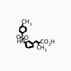 CC(=Cc1cccc(NS(=O)(=O)c2ccc(C)cc2)c1)C(=O)O